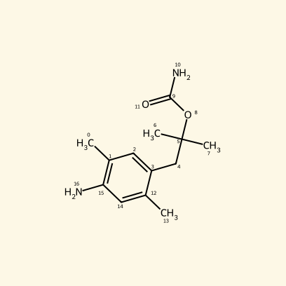 Cc1cc(CC(C)(C)OC(N)=O)c(C)cc1N